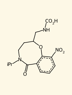 CC(C)N1CCC(CNC(=O)O)Oc2c(cccc2[N+](=O)[O-])C1=O